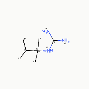 CC(C)C(C)(C)NC(N)N